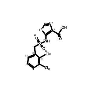 O=C(O)c1ncsc1NS(=O)(=O)Cc1cccc(Cl)c1Cl